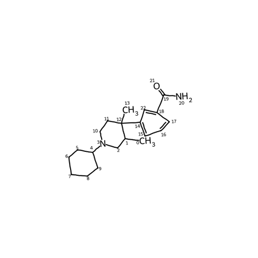 CC1CN(C2CCCCC2)CCC1(C)c1cccc(C(N)=O)c1